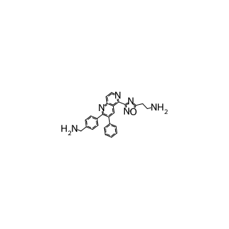 NCCc1nc(-c2nccc3nc(-c4ccc(CN)cc4)c(-c4ccccc4)cc23)no1